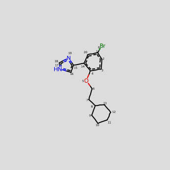 Brc1ccc(OCCC2CCCCC2)c(-c2c[nH]cn2)c1